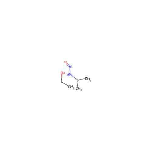 CC(C)NN=O.CCO